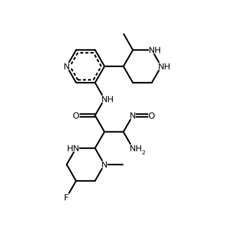 CC1NNCCC1c1ccncc1NC(=O)C(C(N)N=O)C1NCC(F)CN1C